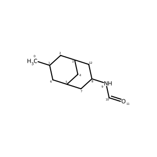 CC1CC2CC(C1)CC(NC=O)C2